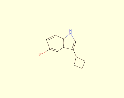 Brc1ccc2[nH]cc(C3CCC3)c2c1